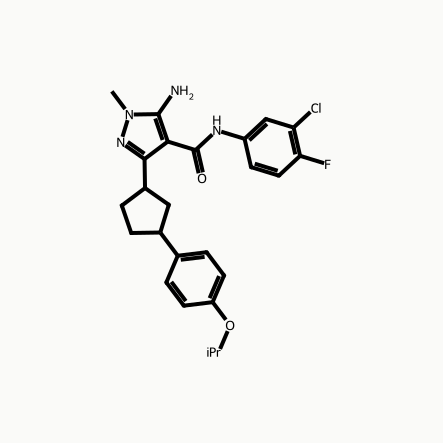 CC(C)Oc1ccc(C2CCC(c3nn(C)c(N)c3C(=O)Nc3ccc(F)c(Cl)c3)C2)cc1